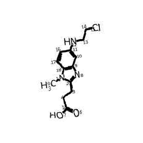 Cn1c(CCC(=O)O)nc2cc(NCCCl)ccc21